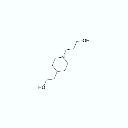 OCCCN1CCC(CCO)CC1